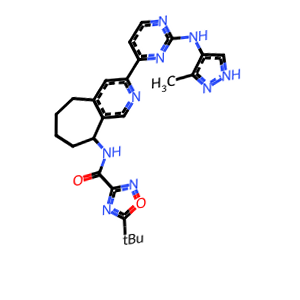 Cc1n[nH]cc1Nc1nccc(-c2cc3c(cn2)C(NC(=O)c2noc(C(C)(C)C)n2)CCCC3)n1